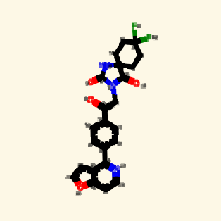 O=C(CN1C(=O)NC2(CCC(F)(F)CC2)C1=O)c1ccc(-c2nccc3occc23)cc1